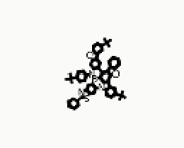 CC(C)(C)c1ccc(N2B3c4cc5nc(-c6ccccc6)sc5cc4-n4c5ccc(C(C)(C)C)cc5c5c6oc7ccccc7c6c(c3c54)-c3cc4c(cc32)oc2ccc(C(C)(C)C)cc24)cc1